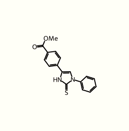 COC(=O)c1ccc(-c2cn(-c3ccccc3)c(=S)[nH]2)cc1